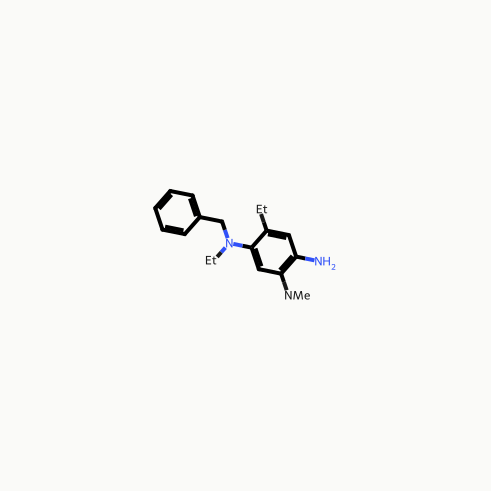 CCc1cc(N)c(NC)cc1N(CC)Cc1ccccc1